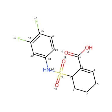 O=C(O)C1=CCCCC1S(=O)(=O)Nc1ccc(F)c(F)c1